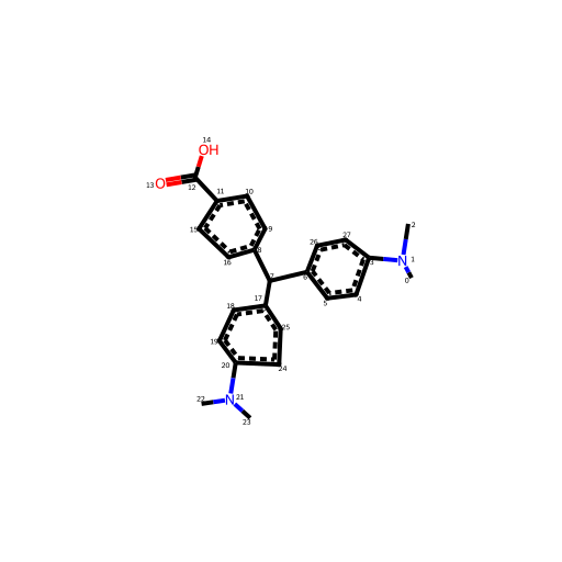 CN(C)c1ccc(C(c2ccc(C(=O)O)cc2)c2ccc(N(C)C)cc2)cc1